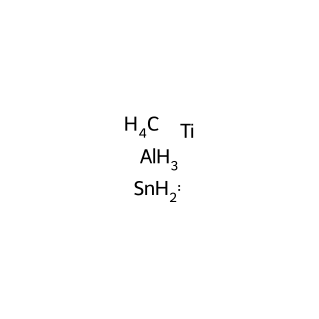 C.[AlH3].[SnH2].[Ti]